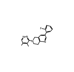 Cc1cnnc(N2CCc3ncc(-c4ccccc4F)cc3C2)c1C